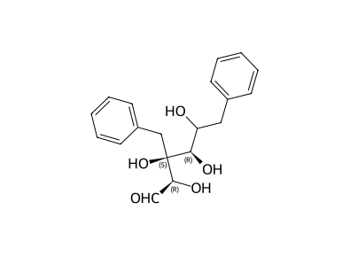 O=C[C@H](O)[C@](O)(Cc1ccccc1)[C@H](O)C(O)Cc1ccccc1